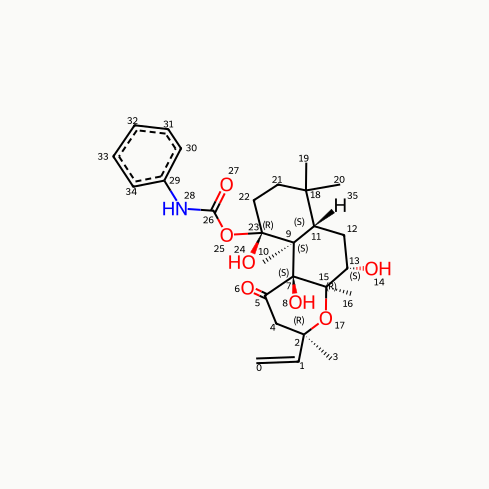 C=C[C@@]1(C)CC(=O)[C@]2(O)[C@]3(C)[C@@H](C[C@H](O)[C@@]2(C)O1)C(C)(C)CC[C@@]3(O)OC(=O)Nc1ccccc1